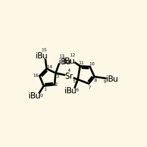 CCC(C)C1=C[C]([Sr][C]2(C(C)CC)C=C(C(C)CC)C=C2C(C)CC)(C(C)CC)C(C(C)CC)=C1